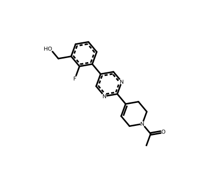 CC(=O)N1CC=C(c2ncc(-c3cccc(CO)c3F)cn2)CC1